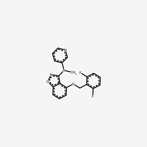 CN(c1cccnc1)c1noc2cccc(OCc3c(F)cccc3F)c12